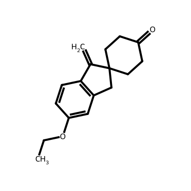 C=C1c2ccc(OCC)cc2CC12CCC(=O)CC2